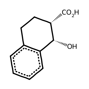 O=C(O)[C@H]1CCc2ccccc2[C@H]1O